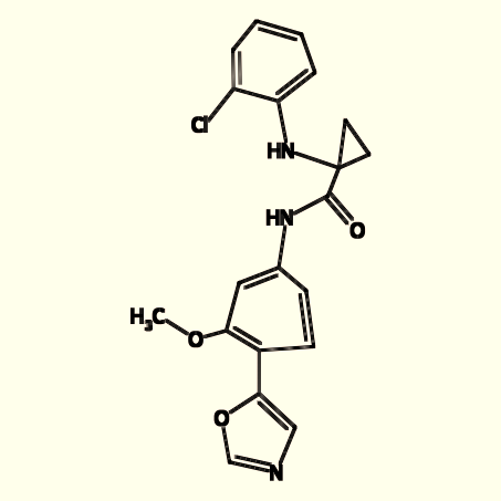 COc1cc(NC(=O)C2(Nc3ccccc3Cl)CC2)ccc1-c1cnco1